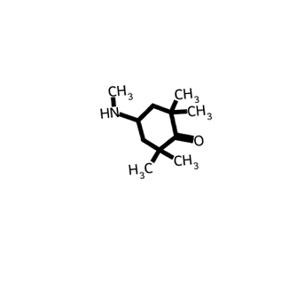 CNC1CC(C)(C)C(=O)C(C)(C)C1